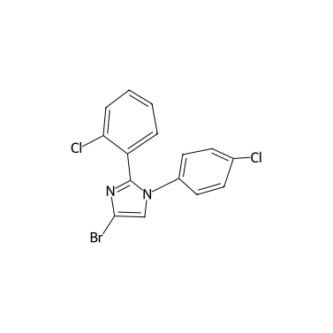 Clc1ccc(-n2cc(Br)nc2-c2ccccc2Cl)cc1